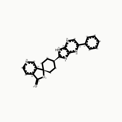 O=C1O[C@]2(CC[C@H](c3nc4nc(-c5ccccc5)cnc4[nH]3)CC2)c2cnccc21